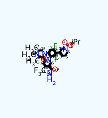 CC(C)OC(=O)N1CCC=C(c2c(F)cc(N3C[C@@H](C)N(C)[C@@H](C)C3)c(-n3cc(C(N)=O)c(C(F)(F)F)cc3=O)c2F)C1